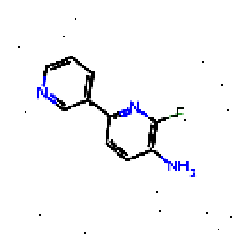 Nc1ccc(-c2cccnc2)nc1F